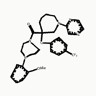 COc1ccccc1N1CCN(C(=O)C2(Oc3ccc(C(F)(F)F)cc3)CCCN(c3cnccn3)C2)CC1